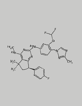 CNc1nc(Nc2ccc(-n3cnc(C)n3)c(OC(F)F)c2)nc2c1C(C)(C)C[C@@H]2c1ccc(F)cc1